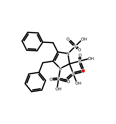 O=S(=O)(O)N1C(Cc2ccccc2)=C(Cc2ccccc2)N(S(=O)(=O)O)C1(S(=O)(=O)O)S(=O)(=O)O